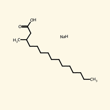 CCCCCCCCCCCC[C](C)CC(=O)O.[NaH]